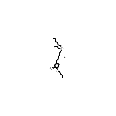 CCCCCC[N+](C)(CCC)CCCCCCc1ccc(OCCCC)c(N)c1.[Cl-]